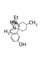 CCNC1CC(C)CCC1(c1cccc(O)c1)N(C)C